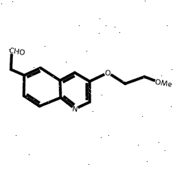 COCCOc1cnc2ccc(CC=O)cc2c1